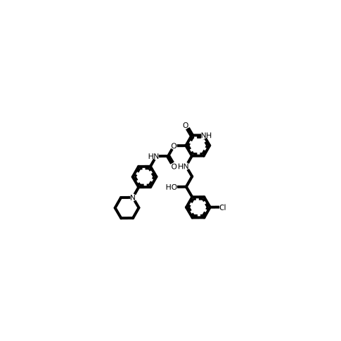 O=C(Nc1ccc(N2CCCCC2)cc1)Oc1c(NCC(O)c2cccc(Cl)c2)cc[nH]c1=O